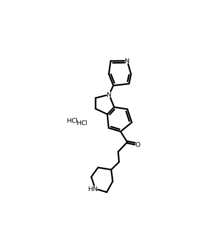 Cl.Cl.O=C(CCC1CCNCC1)c1ccc2c(c1)CCN2c1ccncc1